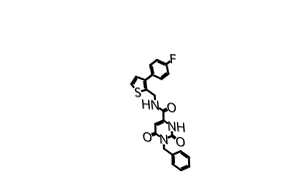 O=C(NCc1sccc1-c1ccc(F)cc1)c1cc(=O)n(Cc2ccccc2)c(=O)[nH]1